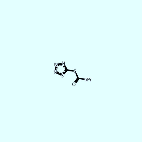 CCCC(=O)Sc1nnns1